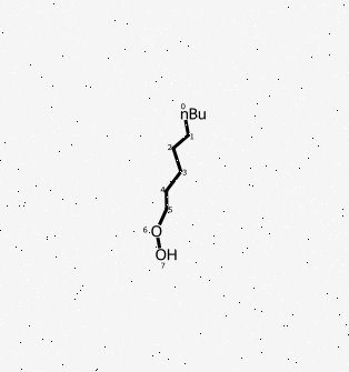 CC[CH]CCCCCCOO